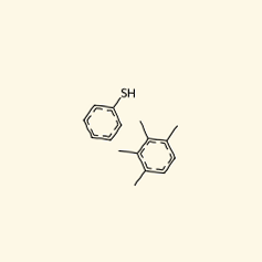 Cc1ccc(C)c(C)c1C.Sc1ccccc1